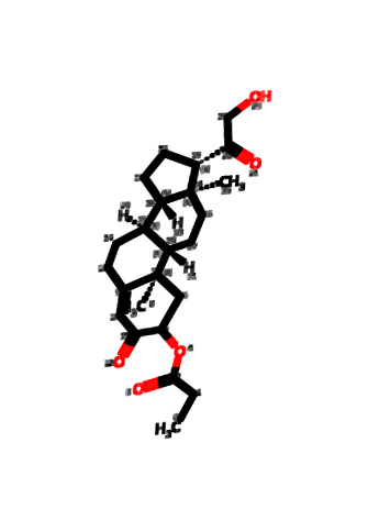 CCC(=O)OC1C[C@@]2(C)C(=CC1=O)CC[C@H]1[C@@H]3CC[C@H](C(=O)CO)[C@@]3(C)CC[C@@H]12